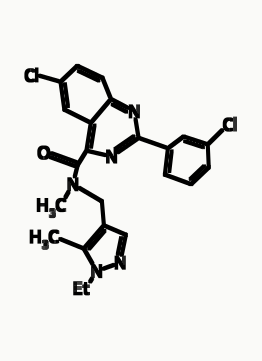 CCn1ncc(CN(C)C(=O)c2nc(-c3cccc(Cl)c3)nc3ccc(Cl)cc23)c1C